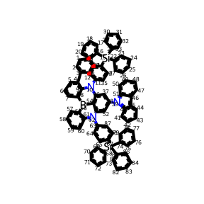 c1ccc(-c2cccc3c2N(c2ccc([Si](c4ccccc4)(c4ccccc4)c4ccccc4)cc2)c2cc(-n4c5ccccc5c5ccccc54)cc4c2B3c2ccccc2N4c2ccc([Si](c3ccccc3)(c3ccccc3)c3ccccc3)cc2)cc1